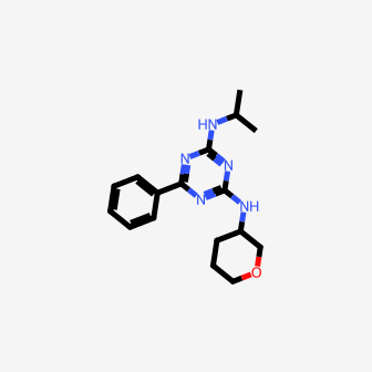 CC(C)Nc1nc(NC2CCCOC2)nc(-c2ccccc2)n1